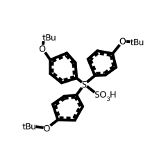 CC(C)(C)Oc1ccc(S(c2ccc(OC(C)(C)C)cc2)(c2ccc(OC(C)(C)C)cc2)S(=O)(=O)O)cc1